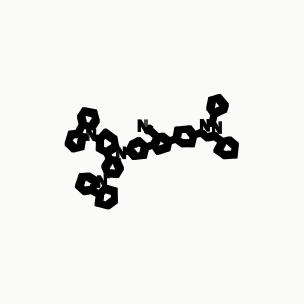 N#Cc1cc(-c2ccc(-c3cc(-c4ccccc4)nc(-c4ccccc4)n3)cc2)ccc1-c1ccc(-n2c3ccc(-n4c5ccccc5c5ccccc54)cc3c3cc(-n4c5ccccc5c5ccccc54)ccc32)cc1